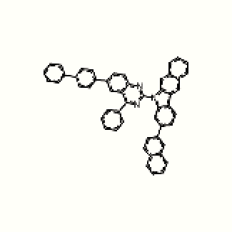 c1ccc(-c2ccc(-c3ccc4nc(-n5c6cc(-c7ccc8ccccc8c7)ccc6c6cc7ccccc7cc65)nc(-c5ccccc5)c4c3)cc2)cc1